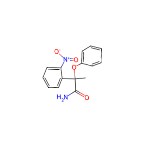 CC(Oc1ccccc1)(C(N)=O)c1ccccc1[N+](=O)[O-]